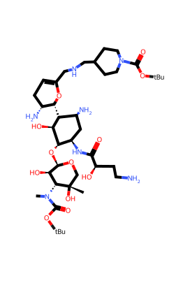 CN(C(=O)OC(C)(C)C)[C@@H]1[C@@H](O)[C@@H](O[C@H]2[C@H](NC(=O)[C@H](O)CCN)C[C@H](N)C([C@H]3OC(CNCC4CCN(C(=O)OC(C)(C)C)CC4)=CC[C@H]3N)[C@@H]2O)OC[C@]1(C)O